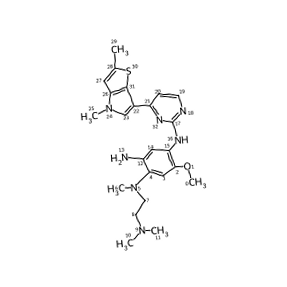 COc1cc(N(C)CCN(C)C)c(N)cc1Nc1nccc(-c2cn(C)c3cc(C)sc23)n1